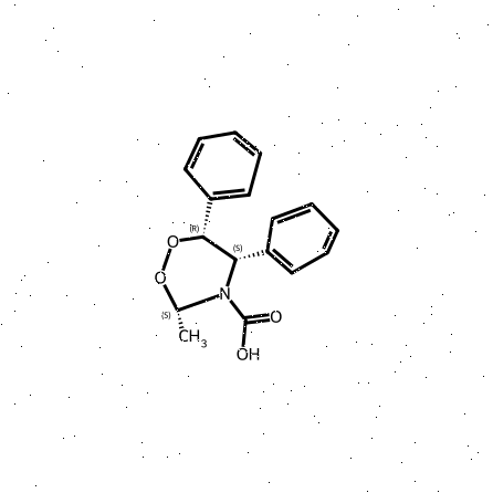 C[C@@H]1OO[C@H](c2ccccc2)[C@H](c2ccccc2)N1C(=O)O